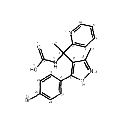 [CH2]C(NC(=O)O)(c1ccccn1)c1c(C)noc1-c1ccc(Br)cc1